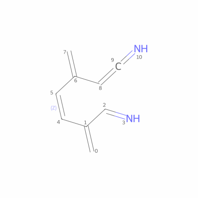 C=C(C=N)/C=C\C(=C)C=C=N